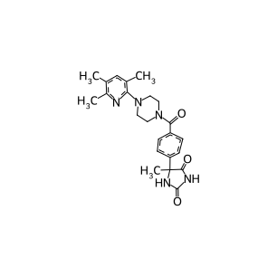 Cc1cc(C)c(N2CCN(C(=O)c3ccc(C4(C)NC(=O)NC4=O)cc3)CC2)nc1C